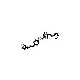 C(=Cc1nc(COc2ccc(CCCn3ccnc3)cc2)co1)c1ccco1